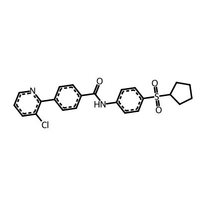 O=C(Nc1ccc(S(=O)(=O)C2CCCC2)cc1)c1ccc(-c2ncccc2Cl)cc1